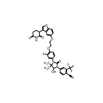 CC1(C)C(O)N(c2ccc(C#N)c(C(F)(F)F)c2)C(=S)N1c1ccc(OCCOc2ccc3occ(C4CCC(=O)NC4=O)c3c2)c(F)c1